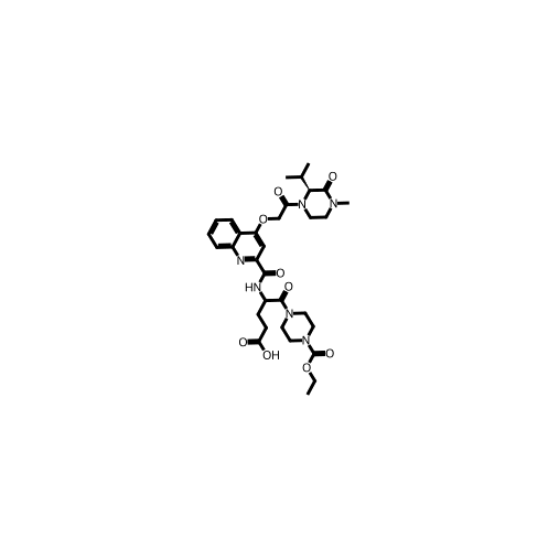 CCOC(=O)N1CCN(C(=O)C(CCC(=O)O)NC(=O)c2cc(OCC(=O)N3CCN(C)C(=O)[C@@H]3C(C)C)c3ccccc3n2)CC1